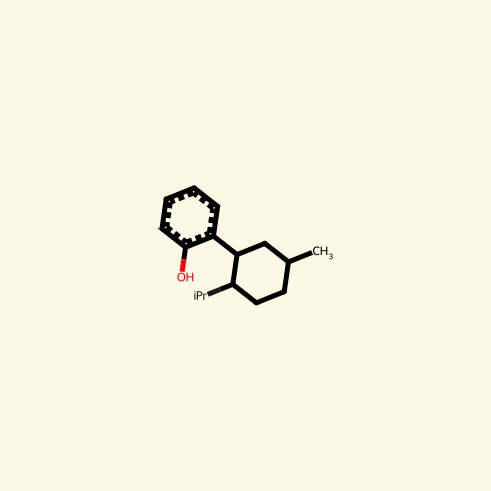 CC1CCC(C(C)C)C(c2ccc[c]c2O)C1